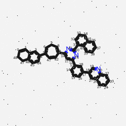 C1=Cc2cc(C3=CCC=C(c4cc(-c5cccc(-c6cnc7ccccc7c6)c5)nc(-c5cccc6ccccc56)n4)C=C3)ccc2CC1